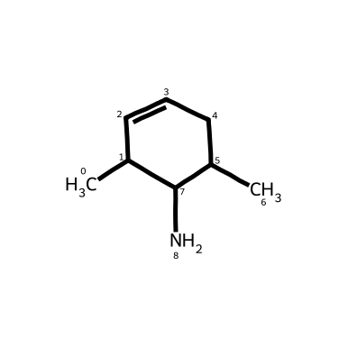 CC1C=CCC(C)C1N